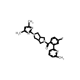 Cc1cccc(-c2cc(F)ccc2C(=O)N2CC3CN(c4nc(C)cc(C)n4)CC3C2)n1